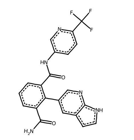 NC(=O)c1cccc(C(=O)Nc2ccc(C(F)(F)F)nc2)c1-c1cnc2[nH]ccc2c1